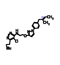 C/C=C(\C)Cc1ccc(-n2ccc(OCCNc3ncnc(CCC(C)CC)c3Cl)n2)cc1